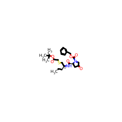 CCC[C@@H](CSCC(=O)OC(C)(C)C)NC(=O)[C@@H]1CC(=O)CN1C(=O)OCc1ccccc1